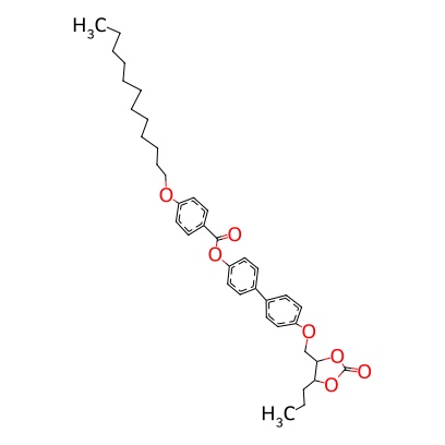 CCCCCCCCCCCCOc1ccc(C(=O)Oc2ccc(-c3ccc(OCC4OC(=O)OC4CCC)cc3)cc2)cc1